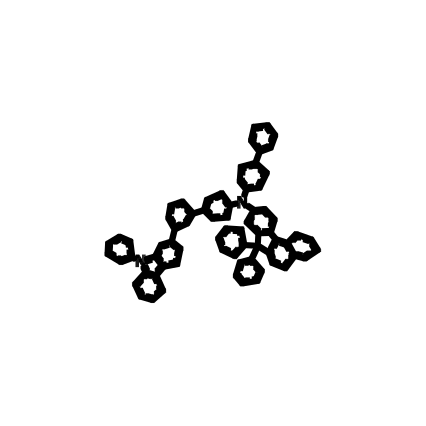 c1ccc(-c2ccc(N(c3ccc(-c4cccc(-c5ccc6c7ccccc7n(-c7ccccc7)c6c5)c4)cc3)c3ccc4c(c3)C(c3ccccc3)(c3ccccc3)c3ccc5ccccc5c3-4)cc2)cc1